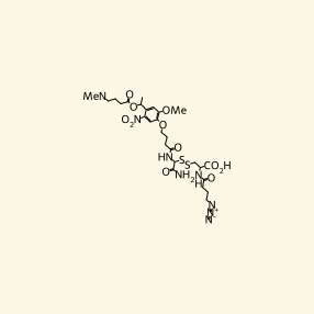 CNCCCC(=O)OC(C)c1cc(OC)c(OCCCC(=O)NC(SSCC(NC(=O)CCCN=[N+]=[N-])C(=O)O)C(N)=O)cc1[N+](=O)[O-]